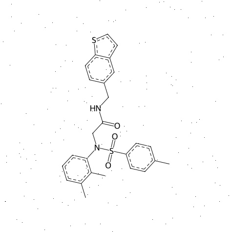 Cc1ccc(S(=O)(=O)N(CC(=O)NCc2ccc3sccc3c2)c2cccc(C)c2C)cc1